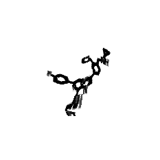 CC(C)CNc1nc(-c2ccc(F)cc2)cn2c(-c3ccc(CNC4CC4)c(Cl)c3)cnc12